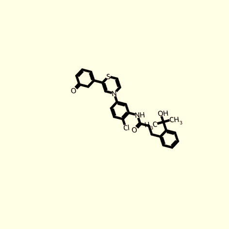 CC(C)(O)c1ccccc1CCC(=O)Nc1cc(N2C=CSC(C3=CC=CC(=O)C3)=C2)ccc1Cl